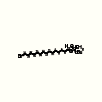 CC(C)(C)[Si](C)(C)OCCCCCCCCCCCCCCCBr